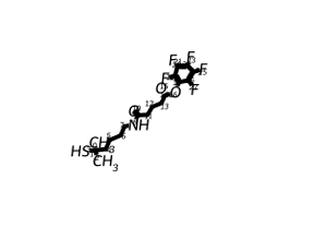 CC(C)(S)CCCCNC(=O)CCCC(=O)Oc1c(F)c(F)c(F)c(F)c1F